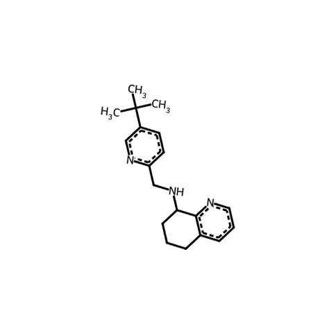 CC(C)(C)c1ccc(CNC2CCCc3cccnc32)nc1